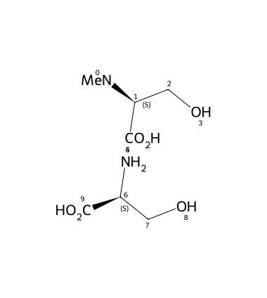 CN[C@@H](CO)C(=O)O.N[C@@H](CO)C(=O)O